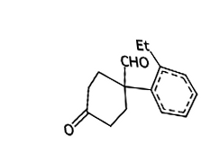 CCc1ccccc1C1(C=O)CCC(=O)CC1